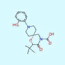 CC(C)(C)C1OC2(CCN(c3ccccc3O)CC2)CN(C(=O)O)C1=O